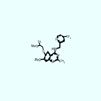 CCC(COc1cc2c(NCc3cc(C(F)(F)F)ccn3)nc(C)nc2cc1OC)OC